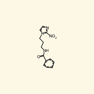 O=C(NCCCn1ccnc1[N+](=O)[O-])c1ccccc1